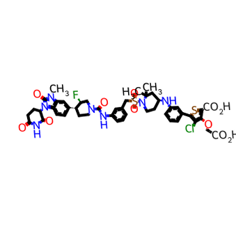 Cn1c(=O)n(C2CCC(=O)NC2=O)c2ccc([C@H]3CCN(C(=O)Nc4cccc(CS(=O)(=O)N5CC[C@H](Nc6cccc(-c7sc(C(=O)O)c(OCC(=O)O)c7Cl)c6)CC5(C)C)c4)C[C@@H]3F)cc21